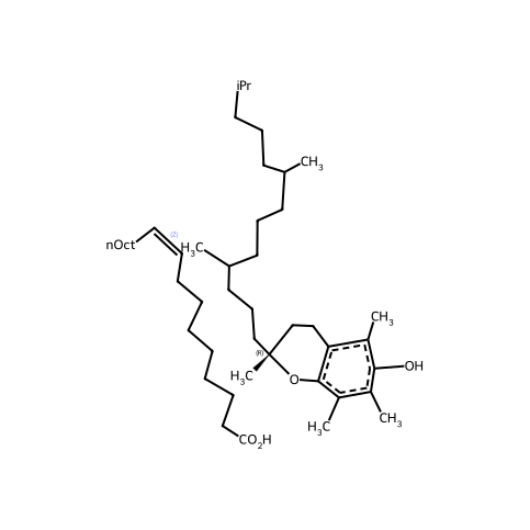 CCCCCCCC/C=C\CCCCCCCC(=O)O.Cc1c(C)c2c(c(C)c1O)CC[C@@](C)(CCCC(C)CCCC(C)CCCC(C)C)O2